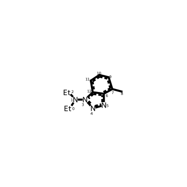 CCN(CC)n1nnc2c(C)cccc21